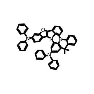 CC1(C)c2ccccc2B2c3c(cc(N(c4ccccc4)c4ccccc4)cc31)-n1c3c2cccc3c2oc3cc(N(c4ccccc4)c4ccccc4)ccc3c21